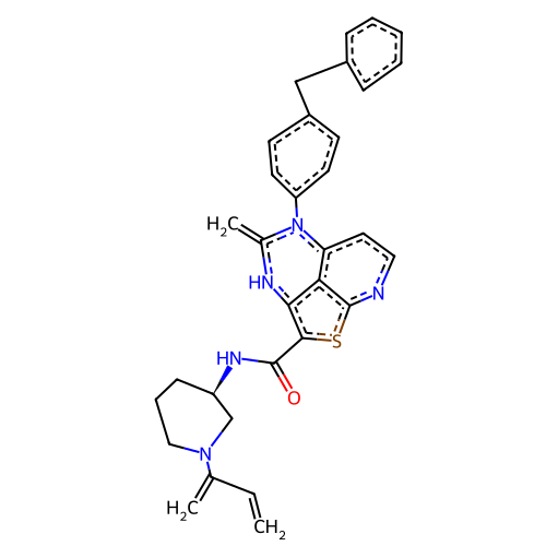 C=CC(=C)N1CCC[C@@H](NC(=O)c2sc3nccc4c3c2[nH]c(=C)n4-c2ccc(Cc3ccccc3)cc2)C1